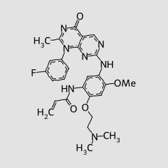 C=CC(=O)Nc1cc(Nc2ncc3c(=O)nc(C)n(-c4cccc(F)c4)c3n2)c(OC)cc1OCCN(C)C